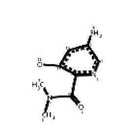 Bc1cnc(C(=O)N(C)C)c(Cl)c1